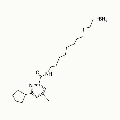 BCCCCCCCCCCCNC(=O)c1cc(C)cc(C2CCCC2)n1